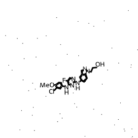 COc1ccc(Nc2nc(Nc3ccc4c(cnn4CCCO)c3)ncc2F)cc1Cl